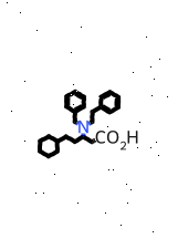 O=C(O)CC(CCC1CCCCC1)N(CCc1ccccc1)Cc1ccccc1